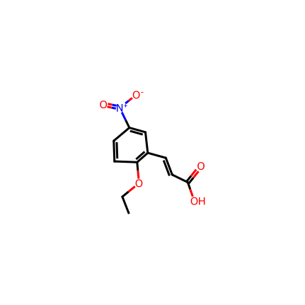 CCOc1ccc([N+](=O)[O-])cc1C=CC(=O)O